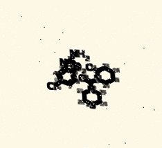 Nc1nc2cc(Cl)ccc2s1.O=C(O)[C@@H]1CCCCN1C(=O)N1CCSCC1